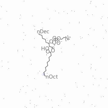 CCCCCCCC/C=C\CCCCCCCC(=O)O[C@@H](COP(=O)([O-])OCC[N+](C)(C)C)C(O)C(=O)CCCCCCCCCCCCCCC